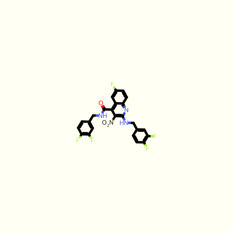 O=C(NCc1ccc(F)c(F)c1)c1c([N+](=O)[O-])c(NCc2ccc(F)c(F)c2)nc2ccc(F)cc12